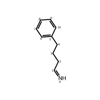 N=CCCCc1cc[c]cc1